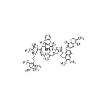 C=C(CP(C)C(=C)CCCCCN1C(=C)CC(C)(CCC)C1=C)NCC(=C)P(C)C(Cc1ccccc1)C(=C)NCC(=C)P(C)COCC(=C)NC1CCc2c(C)c(P)cc3nc4c(c1c23)Cn1c-4cc2c(c1=O)CCC(=C)C2CC